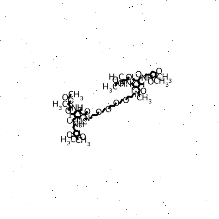 CC(=O)OC(C)C(=O)Nc1c(I)c(C(=O)NCC2CC(=O)C(C)(C)C2=O)c(I)c(C(=O)N(C)CCCOCCOCCOCCOCCCN(C)C(=O)c2c(I)c(NC(=O)C(C)OC(C)=O)c(I)c(C(=O)NCC3CC(=O)C(C)(C)C3=O)c2I)c1I